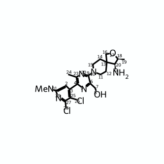 CNc1cc(-c2nc(CO)c(N3CCC4(CC3)CO[C@@H](C)[C@H]4N)nc2C)c(Cl)c(Cl)n1